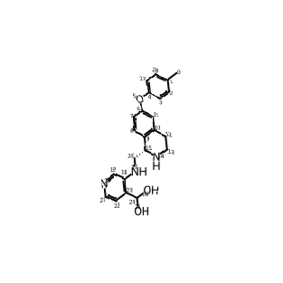 Cc1ccc(Oc2ccc3c(c2)CCN[C@@H]3CNc2cnccc2C(O)O)cc1